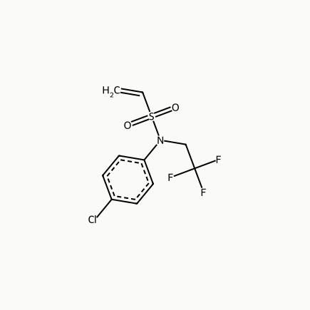 C=CS(=O)(=O)N(CC(F)(F)F)c1ccc(Cl)cc1